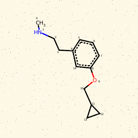 CNCCc1cccc(OCC2CC2)c1